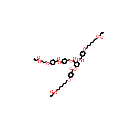 C=CC(=O)OCCCCCCCOc1ccc(C(=O)Oc2ccc(OC(=O)c3ccc(OCCCCCCCOC(=O)C=C)cc3)c(C(=O)OCc3ccc(OC(=O)c4ccc(OCCCOC(=O)C=C)cc4)cc3)c2)cc1